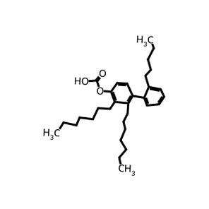 CCCCCCCc1c(OC(=O)O)ccc(-c2ccccc2CCCCC)c1CCCCCCC